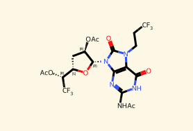 CC(=O)Nc1nc2c(c(=O)[nH]1)n(CCC(F)(F)F)c(=O)n2[C@@H]1O[C@H]([C@@H](OC(C)=O)C(F)(F)F)C[C@H]1OC(C)=O